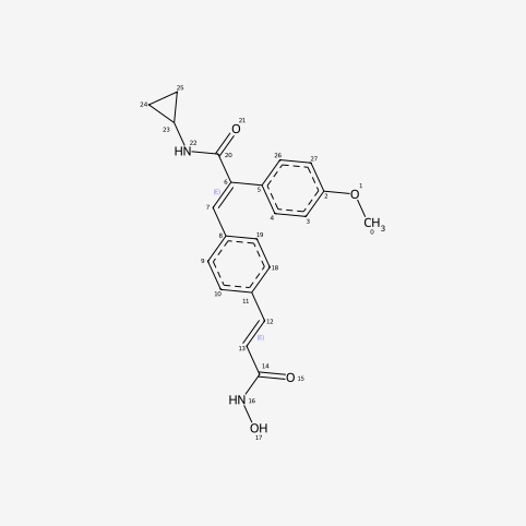 COc1ccc(/C(=C\c2ccc(/C=C/C(=O)NO)cc2)C(=O)NC2CC2)cc1